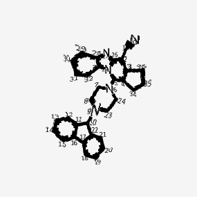 N#Cc1c2c(c(N3CCN(C4c5ccccc5-c5ccccc54)CC3)n3c1nc1ccccc13)CCC2